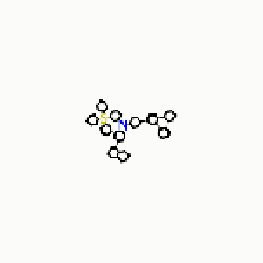 c1ccc(-c2ccc(-c3ccc(N(c4ccc(-c5cccc6ccccc56)cc4)c4cccc(S(c5ccccc5)(c5ccccc5)c5ccccc5)c4)cc3)cc2-c2ccccc2)cc1